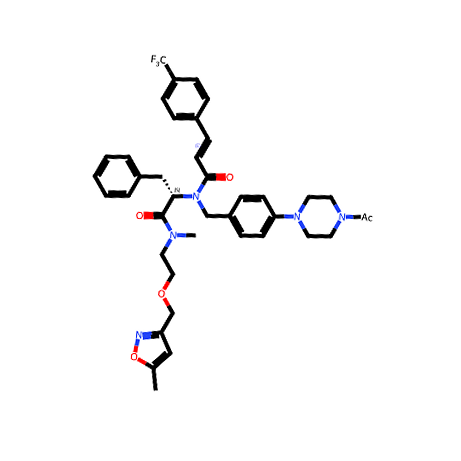 CC(=O)N1CCN(c2ccc(CN(C(=O)/C=C/c3ccc(C(F)(F)F)cc3)[C@@H](Cc3ccccc3)C(=O)N(C)CCOCc3cc(C)on3)cc2)CC1